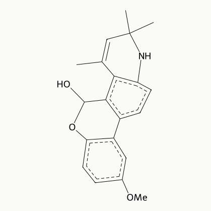 COc1ccc2c(c1)-c1ccc3c(c1C(O)O2)C(C)=CC(C)(C)N3